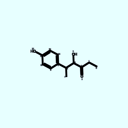 CCC(=O)C(O)C(C)c1ccc(O)cc1